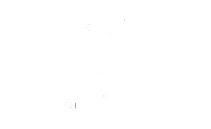 Cc1cccc2c1C(=O)C(c1ccccc1)C(=O)O2